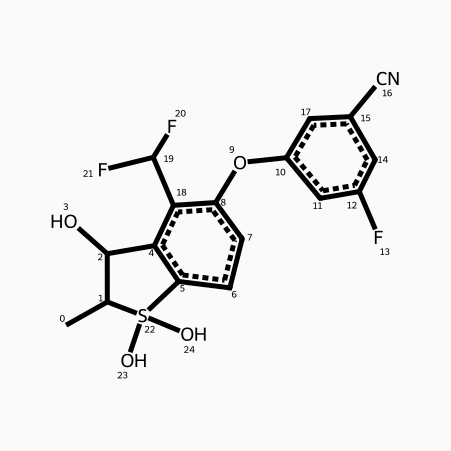 CC1C(O)c2c(ccc(Oc3cc(F)cc(C#N)c3)c2C(F)F)S1(O)O